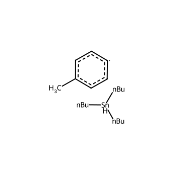 CCC[CH2][SnH]([CH2]CCC)[CH2]CCC.Cc1cc[c]cc1